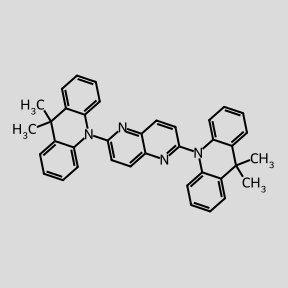 CC1(C)c2ccccc2N(c2ccc3nc(N4c5ccccc5C(C)(C)c5ccccc54)ccc3n2)c2ccccc21